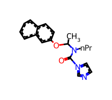 CCCN(C(=O)n1ccnc1)C(C)Oc1ccc2ccccc2c1